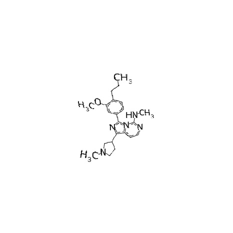 CCCc1ccc(-c2nc(C3CCN(C)C3)c3ccnc(NC)n23)cc1OC